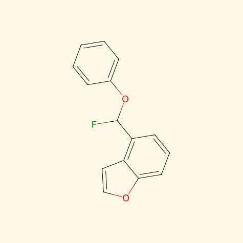 FC(Oc1ccccc1)c1cccc2occc12